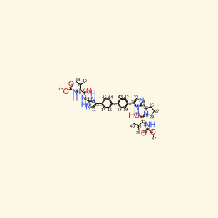 COC(=O)NC(C(=O)Nc1ncc(-c2ccc(-c3ccc(-c4cnc([C@@H]5CCCN5C(O)[C@@H](NC(=O)OC)C(C)C)[nH]4)cc3)cc2)[nH]1)C(C)C